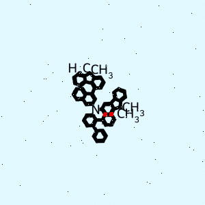 CC1(C)c2ccccc2-c2cc(N(c3cc(-c4cccc5c4-c4ccccc4C5(C)C)c4ccccc4c3)c3cccc(-c4ccccc4)c3-c3ccccc3)ccc21